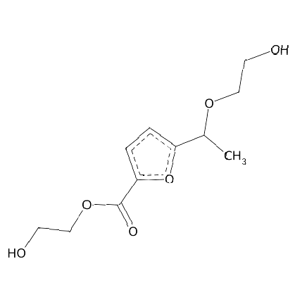 CC(OCCO)c1ccc(C(=O)OCCO)o1